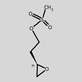 CS(=O)(=O)OCC[C@@H]1CO1